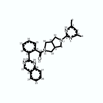 Cc1cc(C)nc(N2CC3CN(C(=O)c4ccccc4-c4ncc5ccccc5n4)CC3C2)n1